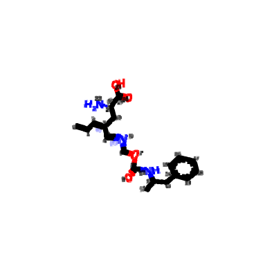 C=C/C=C(\C=N\COC(=O)NC(C)Cc1ccccc1)C[C@H](N)C(=O)O